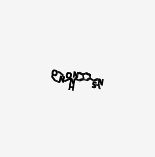 Cc1ncc(-c2ccc3cnc(NC(=O)CN4CCCOCC4)cc3c2)s1